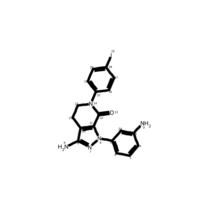 Nc1cccc(-n2nc(N)c3c2C(=O)N(c2ccc(I)cc2)CC3)c1